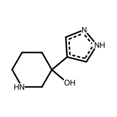 OC1(c2cn[nH]c2)CCCNC1